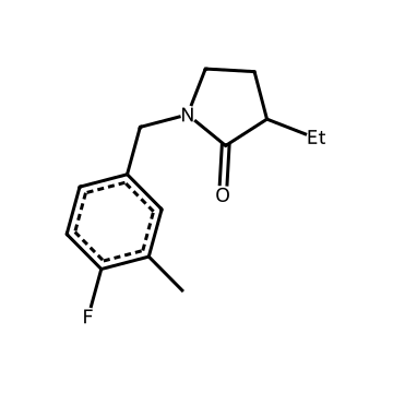 CCC1CCN(Cc2ccc(F)c(C)c2)C1=O